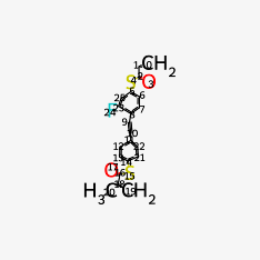 C=CC(=O)Sc1ccc(C#Cc2ccc(SC(=O)C(=C)C)cc2)c(F)c1